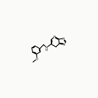 COc1cccc(CNC2=CN=C3N=CN=C3C2)c1